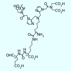 N[C@@H](CCCCN(Cc1nccn1CC(=O)N(CC(=O)O)CC(=O)O)Cc1nccn1CC(=O)N(CC(=O)O)CC(=O)O)C(=O)NCCCC[C@H](NC(=O)N[C@H](C=O)CCC(=O)O)C(=O)O